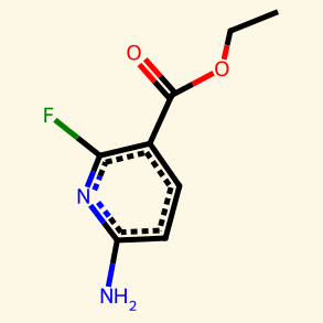 CCOC(=O)c1ccc(N)nc1F